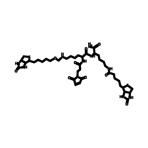 NC(=O)C(CCCCNC(=O)CCCCC1SCC2NC(=O)NC21)NC(=O)C(CCCCNCOCCCCCC1SCC2NC(=O)NC21)NC(=O)CCN1C(=O)C=CC1=O